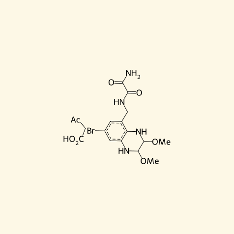 CC(=O)CC(=O)O.COC1Nc2cc(Br)cc(CNC(=O)C(N)=O)c2NC1OC